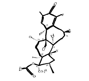 CCC(=O)O[C@]1(C(=O)O)[C@H](C)C[C@H]2[C@@H]3C[C@H](F)C4=C(F)C(=O)C(C)=C[C@]4(C)[C@@]3(Cl)[C@@H](Cl)C[C@@]21C